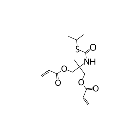 C=CC(=O)OCC(C)(COC(=O)C=C)NC(=O)SC(C)C